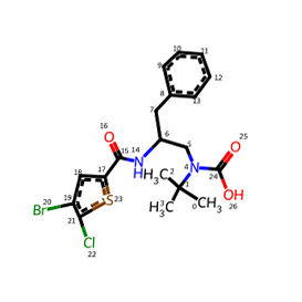 CC(C)(C)N(CC(Cc1ccccc1)NC(=O)c1cc(Br)c(Cl)s1)C(=O)O